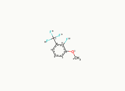 COc1c[c]cc(C(F)(F)F)c1F